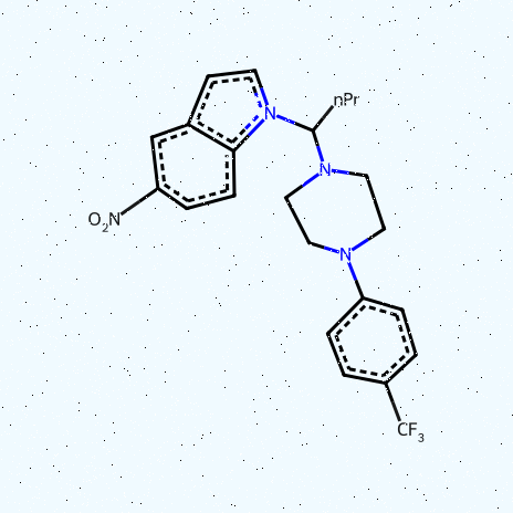 CCCC(N1CCN(c2ccc(C(F)(F)F)cc2)CC1)n1ccc2cc([N+](=O)[O-])ccc21